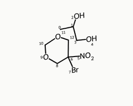 CC(O)CO.O=[N+]([O-])C1(Br)COCOC1